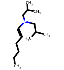 CCCCC=CN(CC(C)C)CC(C)C